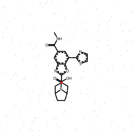 CNC(=O)c1cc(-c2nccs2)c2oc(N3CC4CCC(C3)N4C(=O)O)nc2c1